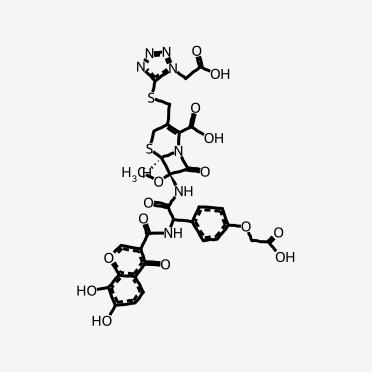 CO[C@@]1(NC(=O)C(NC(=O)c2coc3c(O)c(O)ccc3c2=O)c2ccc(OCC(=O)O)cc2)C(=O)N2C(C(=O)O)=C(CSc3nnnn3CC(=O)O)CS[C@@H]21